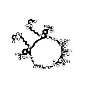 CC12CCCCCC(=O)NCCCCCNC(=O)C(CS(=O)(=O)O)CC(=O)C(CS(=O)(=O)O)NC(=O)C(CS(=O)(=O)O)NC(=O)CCCCCC3(C)/C(=C/C=C/C=C/C1=[N+](CCCCCC(=O)ON1C(=O)CCC1=O)c1ccc(P(=O)(O)O)cc12)N(CCCCCC(=O)ON1C(=O)CCC1=O)c1ccc(P(=O)(O)O)cc13